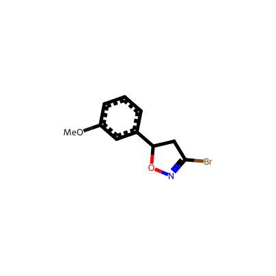 COc1cccc(C2CC(Br)=NO2)c1